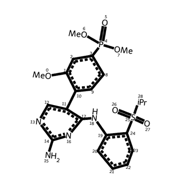 COc1cc(P(=O)(OC)OC)ccc1-c1cnc(N)nc1Nc1ccccc1S(=O)(=O)C(C)C